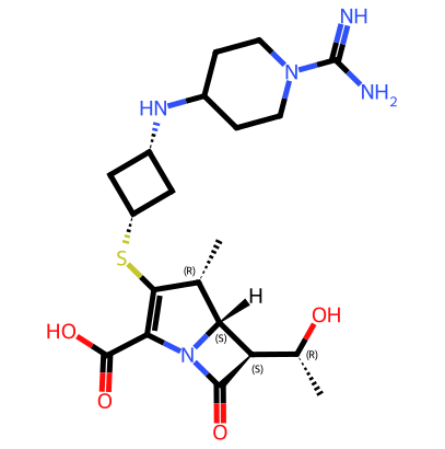 C[C@@H](O)[C@H]1C(=O)N2C(C(=O)O)=C(S[C@H]3C[C@@H](NC4CCN(C(=N)N)CC4)C3)[C@H](C)[C@H]12